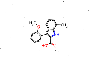 COc1ccccc1-c1c(C(=O)O)[nH]c2c(C)cccc12